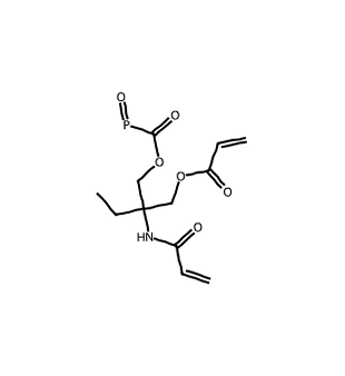 C=CC(=O)NC(CC)(COC(=O)C=C)COC(=O)P=O